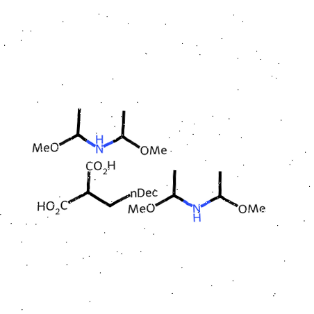 CCCCCCCCCCCC(C(=O)O)C(=O)O.COC(C)NC(C)OC.COC(C)NC(C)OC